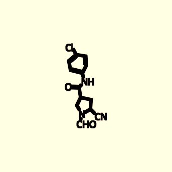 N#CC1CC(C(=O)Nc2ccc(Cl)cc2)CN1C=O